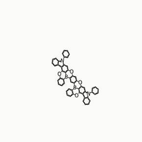 c1ccc(-n2c3ccccc3c3c4c5c(cc32)Oc2cc3c(cc2B5c2ccccc2O4)B2c4ccccc4Oc4c2c(cc2c4c4ccccc4n2-c2ccccc2)O3)cc1